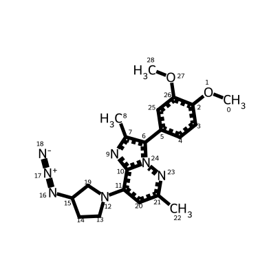 COc1ccc(-c2c(C)nc3c(N4CCC(N=[N+]=[N-])C4)cc(C)nn23)cc1OC